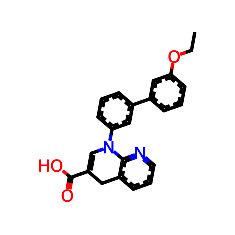 CCOc1cccc(-c2cccc(N3C=C(C(=O)O)Cc4cccnc43)c2)c1